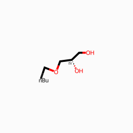 CCCCCOC[C@@H](O)CO